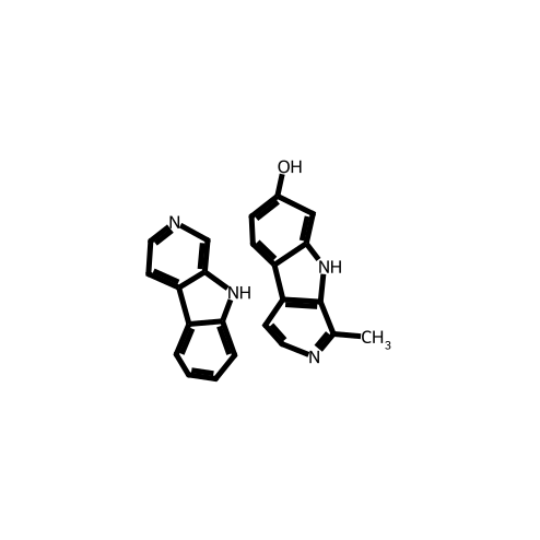 Cc1nccc2c1[nH]c1cc(O)ccc12.c1ccc2c(c1)[nH]c1cnccc12